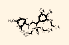 CCOc1cc(C(CNc2ccc(C)nc2C)P(=O)(OCC)OCC)cc(C)c1O